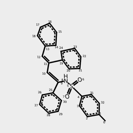 Cc1ccc(S(=O)(=O)N/C(=C\C(=C\c2ccccc2)c2ccccc2)c2ccccc2)cc1